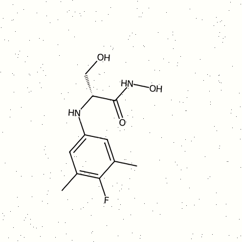 Cc1cc(N[C@H](CO)C(=O)NO)cc(C)c1F